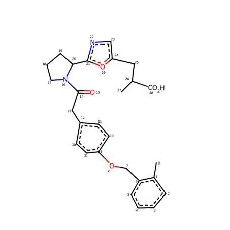 Cc1ccccc1COc1ccc(CC(=O)N2CCCC2c2ncc(CC(C)C(=O)O)o2)cc1